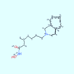 CC(CCCCN1CCc2ccccc2C1)CC(=O)NO